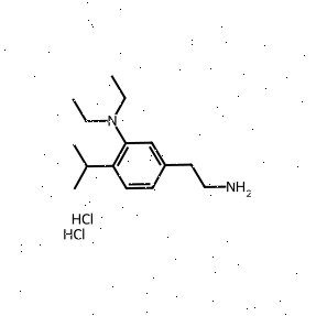 CCN(CC)c1cc(CCN)ccc1C(C)C.Cl.Cl